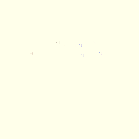 Cc1cccc(-[n+]2[nH]nnc2-c2ccccc2)c1C